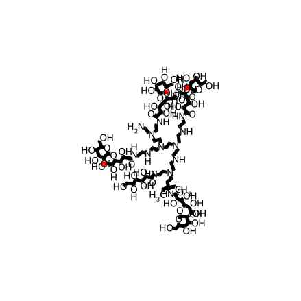 CCC(CC)(CCN(CCNCCN(CCNCCNC(=O)C(O)C(O)C(O)(OC1OC(CO)C(O)C(O)C1O)C(O)CO)CCN(CCNCCNC(=O)C(O)C(O)C(OC1OC(CO)C(O)C(O)C1O)C(O)CO)CCN(CCN)CCNC(=O)C(O)C(O)C(O)(OC1OC(CO)C(O)C(O)C1O)C(O)CO)CCNC(=O)C(O)C(O)C(O)C(O)CO)NC(=O)C(O)C(O)C(OC1OC(CO)C(O)C(O)C1O)C(O)CO